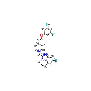 Fc1cc(F)cc(OCCC2CCN(Cc3nc4cc(F)cc5c4n3CCC5)CC2)c1